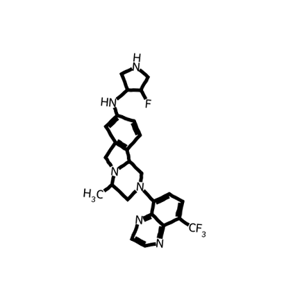 CC1CN(c2ccc(C(F)(F)F)c3nccnc23)CC2c3ccc(NC4CNCC4F)cc3CN12